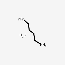 CCCCCCCN.O